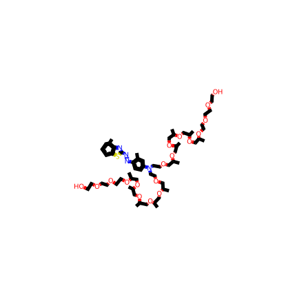 Cc1cc(N(CCOCC(C)OCC(C)OCC(C)OCC(C)OCC(C)OCCOCCOCCO)CCOCC(C)OCC(C)OCC(C)OCC(C)OCC(C)OCCOCCOCCO)ccc1/N=N/c1nc2c(C)cccc2s1